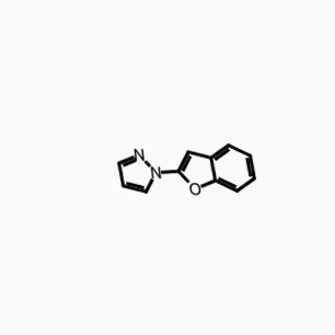 c1ccc2oc(-n3cccn3)cc2c1